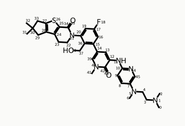 CN(C)CCN(C)c1ccc(Nc2cc(-c3cc(F)cc(N4CCc5c(sc6c5CC(C)(C)C6)C4=O)c3CO)cn(C)c2=O)nc1